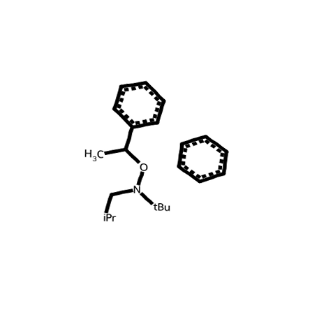 CC(C)CN(OC(C)c1ccccc1)C(C)(C)C.c1ccccc1